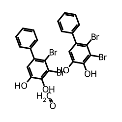 C=O.Oc1cc(-c2ccccc2)c(Br)c(Br)c1O.Oc1cc(-c2ccccc2)c(Br)c(Br)c1O